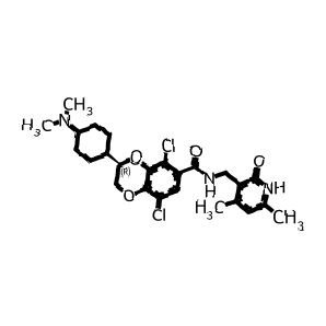 Cc1cc(C)c(CNC(=O)c2cc(Cl)c3c(c2Cl)O[C@H](C2CCC(N(C)C)CC2)CO3)c(=O)[nH]1